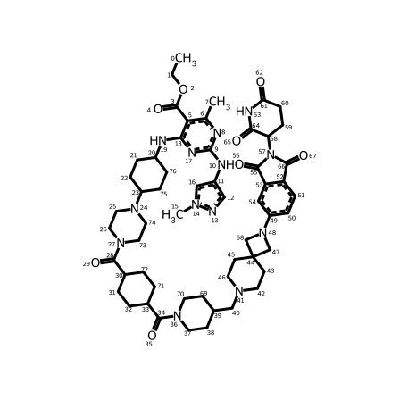 CCOC(=O)c1c(C)nc(Nc2cnn(C)c2)nc1NC1CCC(N2CCN(C(=O)C3CCC(C(=O)N4CCC(CN5CCC6(CC5)CN(c5ccc7c(c5)C(=O)N(C5CCC(=O)NC5=O)C7=O)C6)CC4)CC3)CC2)CC1